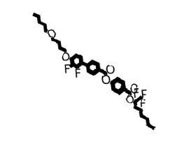 CCCCCCC(OC(=O)c1ccc(OC(=O)c2ccc(-c3ccc(OCCCCOCCCCC)c(F)c3F)cc2)cc1)C(F)(F)F